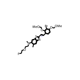 COCOc1ccc(/C=C/c2nc3cc(C)c(N(C)CCOCCF)cc3s2)c(OCOC)c1Br